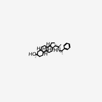 C[C@H](N[C@H](C)[C@H]1CC[C@H]2[C@@H]3CC[C@@H]4C[C@](C)(O)CC[C@@H]4[C@H]3CC[C@]12C)c1ccccc1